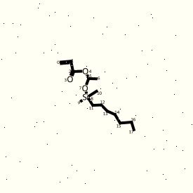 C=CC(=O)OC(C)O[Si](C)(C)CCCCCCC